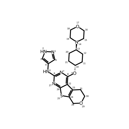 c1n[nH]cc1Nc1nc(O[C@H]2CC[C@H](N3CCOCC3)CC2)c2c3c(sc2n1)COCC3